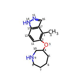 Cc1c(OC2CCCCNC2)ccc2[nH]ncc12